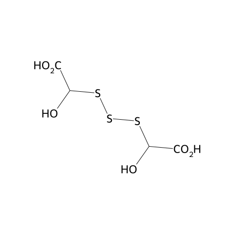 O=C(O)C(O)SSSC(O)C(=O)O